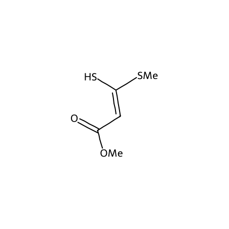 COC(=O)C=C(S)SC